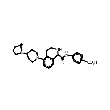 O=C(O)c1ccc(NC(=O)C2NCCc3c2cccc3N2CCC(N3CCCC3=O)CC2)cc1